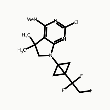 CNc1nc(Cl)nc2c1C(C)(C)CN2C12CC1(C(F)(F)CF)C2